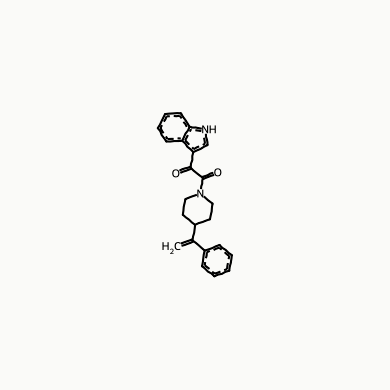 C=C(c1ccccc1)C1CCN(C(=O)C(=O)c2c[nH]c3ccccc23)CC1